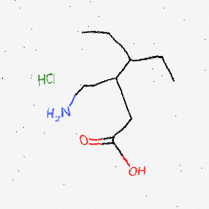 CCC(CC)C(CN)CC(=O)O.Cl